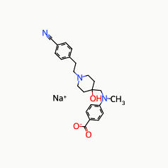 CN(CC1(O)CCN(CCc2ccc(C#N)cc2)CC1)c1ccc(C(=O)[O-])cc1.[Na+]